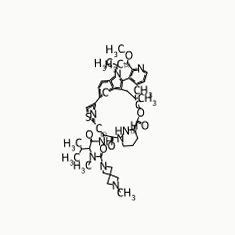 CCn1c(-c2cccnc2[C@H](C)OC)c2c3cc(ccc31)-c1csc(n1)C[C@H](NC(=O)C(C(C)C)N(C)C(=O)N1CC3(CN(C)C3)C1)C(=O)N1CCC[C@H](N1)C(=O)OCC(C)(C)C2